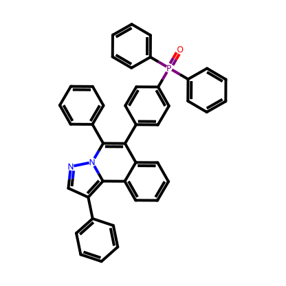 O=P(c1ccccc1)(c1ccccc1)c1ccc(-c2c(-c3ccccc3)n3ncc(-c4ccccc4)c3c3ccccc23)cc1